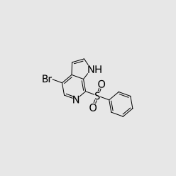 O=S(=O)(c1ccccc1)c1ncc(Br)c2cc[nH]c12